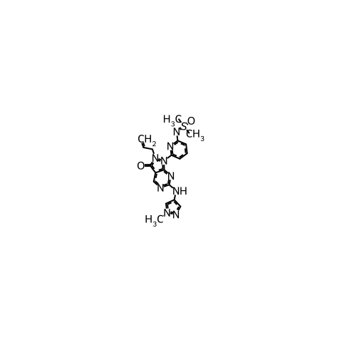 C=CCn1c(=O)c2cnc(Nc3cnn(C)c3)nc2n1-c1cccc(N=S(C)(C)=O)n1